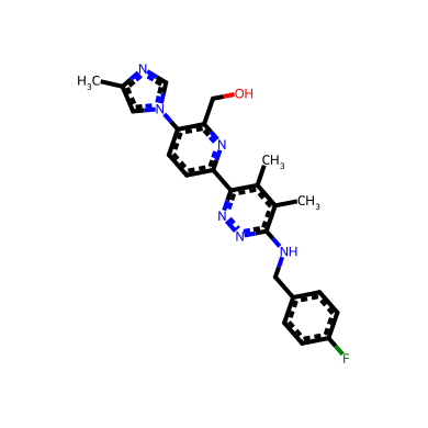 Cc1cn(-c2ccc(-c3nnc(NCc4ccc(F)cc4)c(C)c3C)nc2CO)cn1